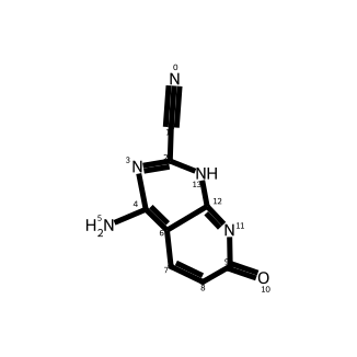 N#Cc1nc(N)c2ccc(=O)nc-2[nH]1